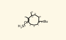 CC1=C(O[SiH3])CCCC(C(C)(C)C)CCC1C